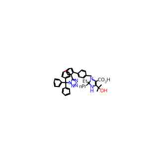 CCCC1(CC)NC(C(C)(C)O)=C(C(=O)O)N1Cc1ccc(-c2ccccc2-c2nnnn2C(c2ccccc2)(c2ccccc2)c2ccccc2)cc1